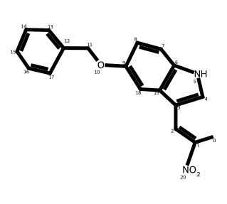 CC(=Cc1c[nH]c2ccc(OCc3ccccc3)cc12)[N+](=O)[O-]